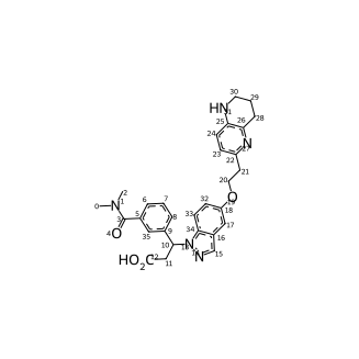 CN(C)C(=O)c1cccc(C(CC(=O)O)n2ncc3cc(OCCc4ccc5c(n4)CCCN5)ccc32)c1